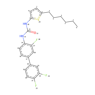 CCCCCCc1ccc(NC(=O)Nc2ccc(-c3ccc(F)c(F)c3)cc2F)s1